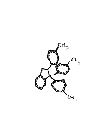 Cc1ccc(C2Cc3ccccc3C2(c2ccc(C)cc2)c2ccc(C)cc2)cc1